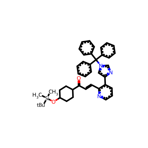 CC(C)(C)[Si](C)(C)OC1CCC(C(=O)C=Cc2ncccc2-c2cn(C(c3ccccc3)(c3ccccc3)c3ccccc3)cn2)CC1